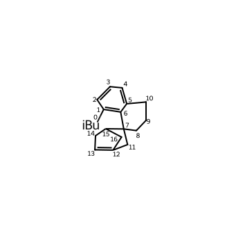 CCC(C)c1cccc2c1C1(CCC2)CC2=CCC1C2